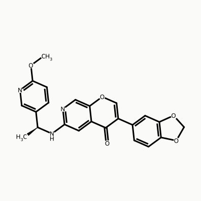 COc1ccc([C@H](C)Nc2cc3c(=O)c(-c4ccc5c(c4)OCO5)coc3cn2)cn1